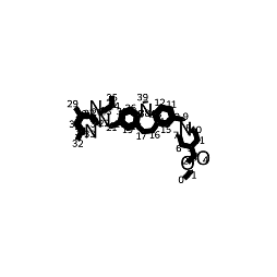 CCOC(=O)C1CCN(Cc2ccc3c(c2)CCc2cc(Cn4c(CC)nc5c(C)cc(C)nc54)ccc2N3C)CC1